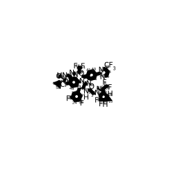 O=C(Cn1nc(C(F)F)c2c1C(F)(F)[C@@H]1C[C@H]21)N[C@@H](Cc1cc(F)cc(F)c1)c1nc2cc(-c3nccc(C(F)(F)F)n3)ccc2c(=O)n1-c1ccc(Cl)c2c(NS(=O)(=O)C3CC3)nn(CC(F)F)c12